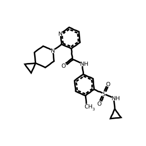 Cc1ccc(NC(=O)c2cccnc2N2CCC3(CC2)CC3)cc1S(=O)(=O)NC1CC1